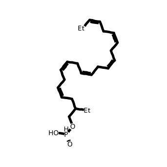 CC/C=C\C/C=C\C/C=C\C/C=C\C/C=C\C/C=C\CC(CC)CO[PH](=O)O